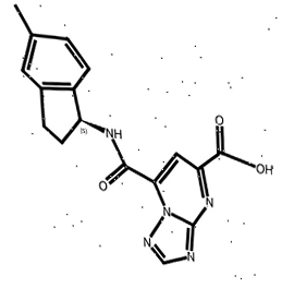 Cc1ccc2c(c1)CC[C@@H]2NC(=O)c1cc(C(=O)O)nc2ncnn12